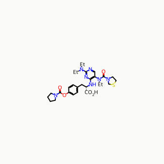 CCN(CC)c1ncc(N(CC)C(=O)N2CCSC2)c(N[C@@H](Cc2ccc(OC(=O)N3CCCC3)cc2)C(=O)O)n1